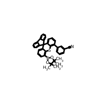 CC1(C)OB(c2cccc3c2Sc2c(-c4cccc(C#N)c4)cccc2C32c3ccccc3-c3ccccc32)OC1(C)C